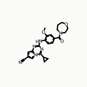 COc1cc(C(=O)N2CCCOCC2)ccc1NC(=N/c1cc(C#N)c[nH]1)/N=C(\C)C1CC1